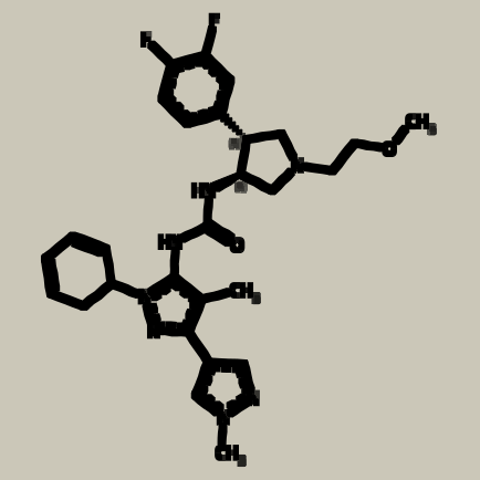 COCCN1C[C@@H](NC(=O)Nc2c(C)c(-c3cnn(C)c3)nn2C2C=CC=CC2)[C@H](c2ccc(F)c(F)c2)C1